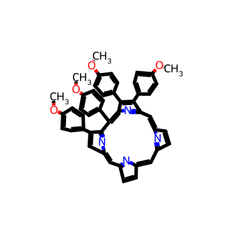 COc1ccc(C2=CC3=CC4=NC(=CC5=NC(=CC6=NC(=C(c7ccc(OC)cc7)C2=N3)C(c2ccc(OC)cc2)=C6c2ccc(OC)cc2)C=C5)C=C4)cc1